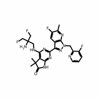 Cc1nc2c(cc1F)c(-c1nc(NCC(N)(CF)CF)c3c(n1)NC(=O)C3(C)C)nn2Cc1ncccc1F